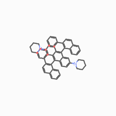 c1ccc(-c2ccc3ccccc3c2-c2c3ccc(N4CCCCC4)cc3c(-c3c(-c4ccccc4)ccc4ccccc34)c3ccc(N4CCCCC4)cc23)cc1